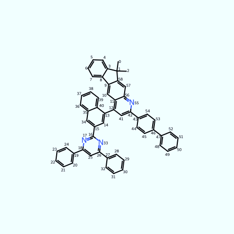 CC1(C)c2ccccc2-c2cc3c(-c4cc(-c5nc(-c6ccccc6)cc(-c6ccccc6)n5)cc5ccccc45)cc(-c4ccc(-c5ccccc5)cc4)nc3cc21